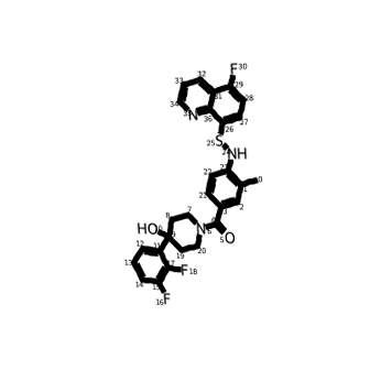 Cc1cc(C(=O)N2CCC(O)(c3cccc(F)c3F)CC2)ccc1NSc1ccc(F)c2cccnc12